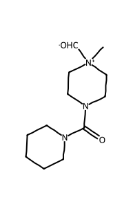 C[N+]1([C]=O)CCN(C(=O)N2CCCCC2)CC1